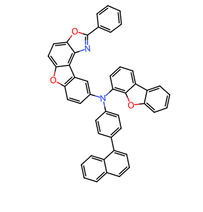 c1ccc(-c2nc3c(ccc4oc5ccc(N(c6ccc(-c7cccc8ccccc78)cc6)c6cccc7c6oc6ccccc67)cc5c43)o2)cc1